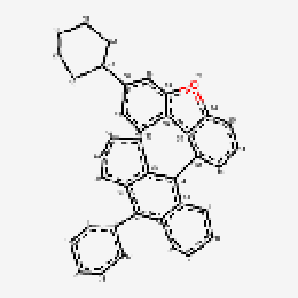 c1ccc(-c2c3ccccc3c(-c3cccc4oc5cc(C6CCCCC6)ccc5c34)c3ccccc23)cc1